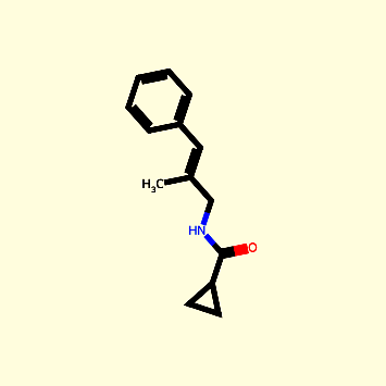 C/C(=C\c1ccccc1)CNC(=O)C1CC1